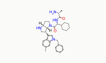 Cc1ccc2c([C@H]3CN[C@@H]4CCN(C(=O)[C@@H](NC(=O)[C@H](C)N)C5CCCCC5)[C@H]34)cn(Cc3ccccc3)c2c1